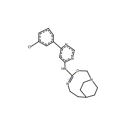 Clc1cccc(-c2cc(N/C3=N/CCC4CCN(CC4)CO3)ncn2)c1